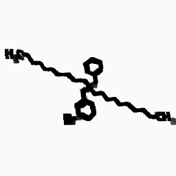 CCCCCCCCCC[N+](CCCCCCCCCC)(Cc1ccccc1)Cc1ccccc1.[Br-]